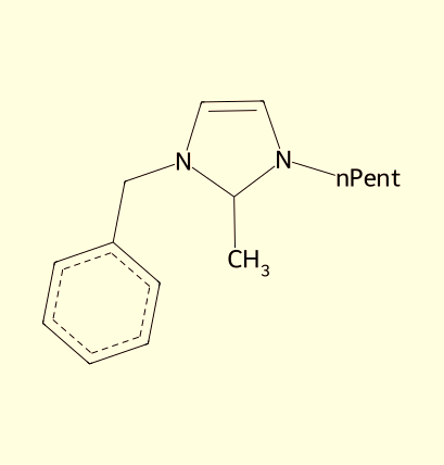 CCCCCN1C=CN(Cc2ccccc2)C1C